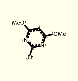 C[CH]c1nc(OC)cc(OC)n1